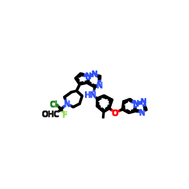 Cc1cc(Nc2ncnn3ccc(C4CCCN(C(F)(Cl)C=O)CC4)c23)ccc1Oc1ccn2ncnc2c1